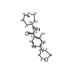 Cc1nc(N2CCOCC2)ncc1C(=O)NC1CCCCCC1